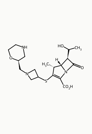 CC(O)[C@H]1C(=O)N2C(C(=O)O)=C(SC3CN(C[C@@H]4CNCCO4)C3)[C@H](C)[C@H]12